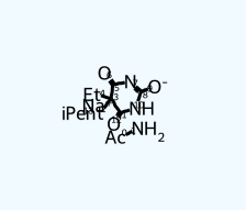 CC(N)=O.CCCC(C)C1(CC)C(=O)N=C([O-])NC1=O.[Na+]